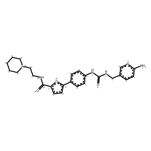 Nc1ccc(CNC(=O)Nc2ccc(-c3ccc(C(=O)NCCN4CCCCC4)o3)cc2)cn1